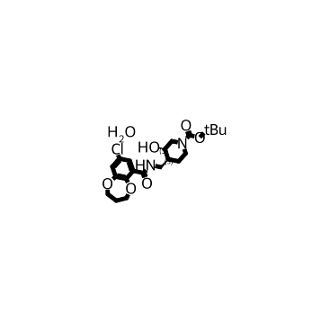 CC(C)(C)OC(=O)N1CC[C@@H](CNC(=O)c2cc(Cl)cc3c2OCCCO3)[C@H](O)C1.O